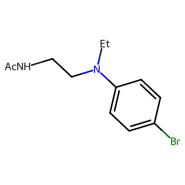 CCN(CCNC(C)=O)c1ccc(Br)cc1